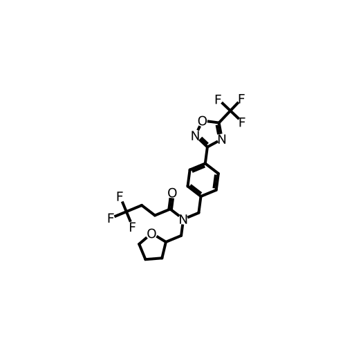 O=C(CCC(F)(F)F)N(Cc1ccc(-c2noc(C(F)(F)F)n2)cc1)CC1CCCO1